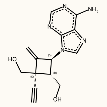 C#C[C@]1(CO)C(=C)[C@@H](n2cnc3c(N)ncnc32)[C@@H]1CO